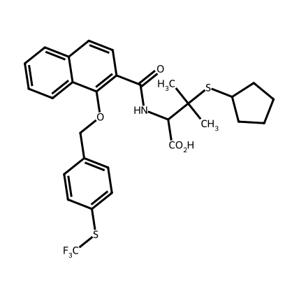 CC(C)(SC1CCCC1)C(NC(=O)c1ccc2ccccc2c1OCc1ccc(SC(F)(F)F)cc1)C(=O)O